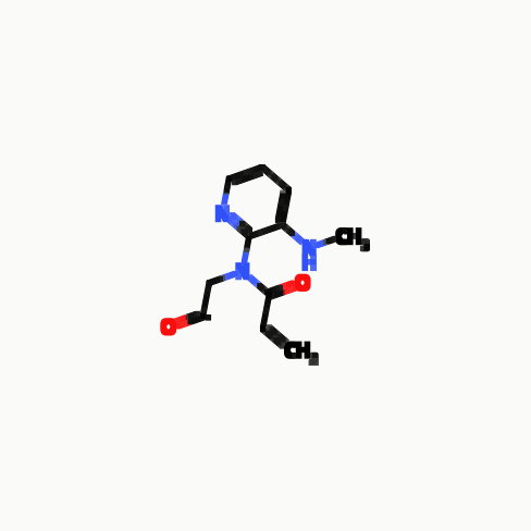 C=CC(=O)N(C[C]=O)c1ncccc1NC